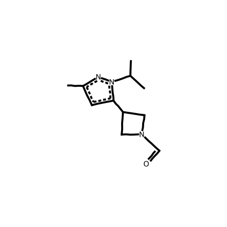 Cc1cc(C2CN(C=O)C2)n(C(C)C)n1